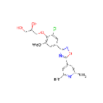 CCCc1cc(-c2nc(-c3cc(Cl)c(OC[C@H](O)CO)c(OC)c3)no2)cc(C)n1